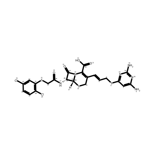 Nc1cc(SCC=CC2=C(C(=O)O)N3C(=O)[C@@H](NC(=O)CSc4cc(Cl)ccc4Cl)[C@H]3SC2)nc(N)n1